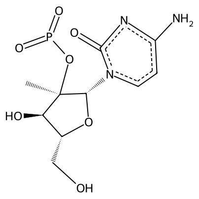 C[C@@]1(OP(=O)=O)[C@H](O)[C@@H](CO)O[C@H]1n1ccc(N)nc1=O